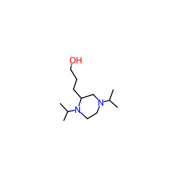 CC(C)N1CCN(C(C)C)C(CCCO)C1